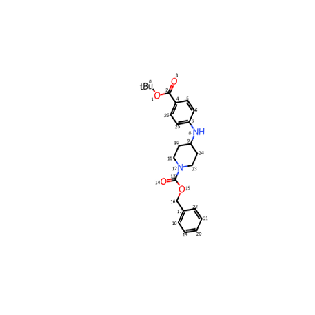 CC(C)(C)OC(=O)c1ccc(NC2CCN(C(=O)OCc3ccccc3)CC2)cc1